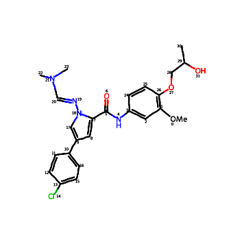 COc1cc(NC(=O)c2cc(-c3ccc(Cl)cc3)cn2N=CN(C)C)ccc1OCC(C)O